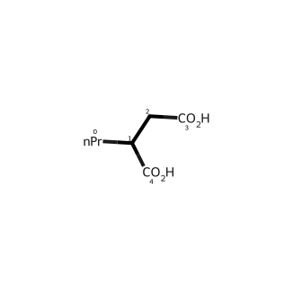 CCCC(CC(=O)O)C(=O)O